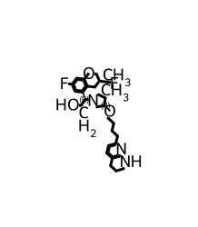 C=C(O)[C@@H](c1cc(F)cc2c1CC(C(C)(C)F)CO2)N1CC[C@@H](OCCCCc2ccc3c(n2)NCCC3)C1